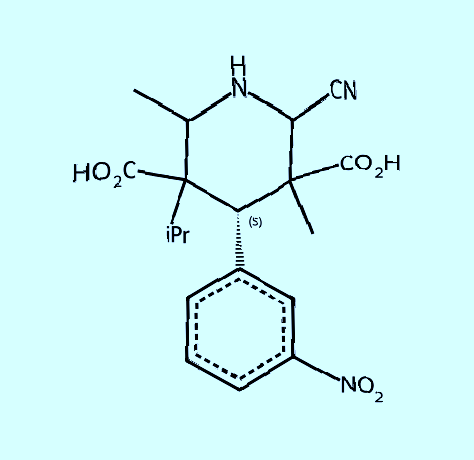 CC(C)C1(C(=O)O)C(C)NC(C#N)C(C)(C(=O)O)[C@@H]1c1cccc([N+](=O)[O-])c1